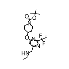 CCNCc1cc(OC2CCN(C(=O)OC(C)(C)C)CC2)nc(C(F)(F)F)n1